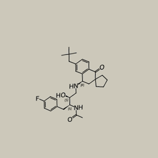 CC(=O)N[C@@H](Cc1ccc(F)cc1)[C@@H](O)CN[C@@H]1CC2(CCCC2)C(=O)c2ccc(CC(C)(C)C)cc21